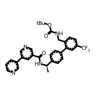 C[C@@H](NC(=O)c1cncc(-c2cccnc2)c1)c1ccc(-c2cc(C(F)(F)F)ccc2CNC(=O)OC(C)(C)C)cc1